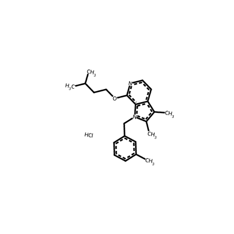 Cc1cccc(Cn2c(C)c(C)c3ccnc(OCCC(C)C)c32)c1.Cl